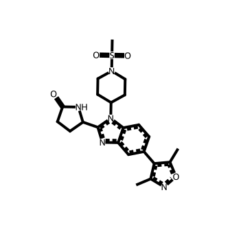 Cc1noc(C)c1-c1ccc2c(c1)nc(C1CCC(=O)N1)n2C1CCN(S(C)(=O)=O)CC1